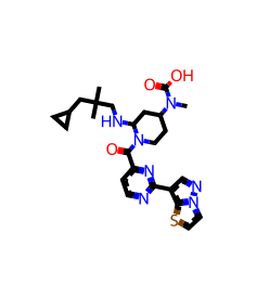 CN(C(=O)O)C1CCN(C(=O)c2ccnc(-c3cnn4ccsc34)n2)C(NCC(C)(C)CC2CC2)C1